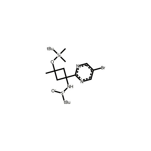 CC1(O[Si](C)(C)C(C)(C)C)CC(N[S+]([O-])C(C)(C)C)(c2ncc(Br)cn2)C1